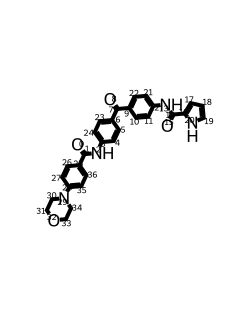 O=C(Nc1ccc(C(=O)c2ccc(NC(=O)c3ccc[nH]3)cc2)cc1)c1ccc(N2CCOCC2)cc1